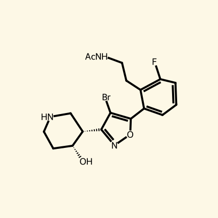 CC(=O)NCCc1c(F)cccc1-c1onc([C@H]2CNCC[C@H]2O)c1Br